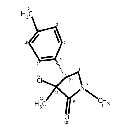 Cc1ccc([C@@H]2CN(C)C(=O)C2(C)Cl)cc1